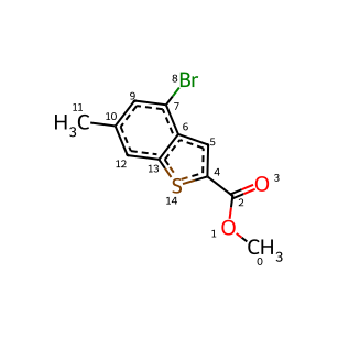 COC(=O)c1cc2c(Br)cc(C)cc2s1